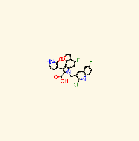 O=C(O)c1c(-c2ccc[nH]c2=O)c2c3occc3c(F)cc2n1Cc1cc2cc(F)ccc2nc1Cl